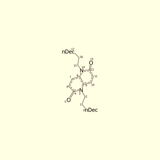 CCCCCCCCCCCCn1c(=O)ccc2c1ccc(=O)n2CCCCCCCCCCCC